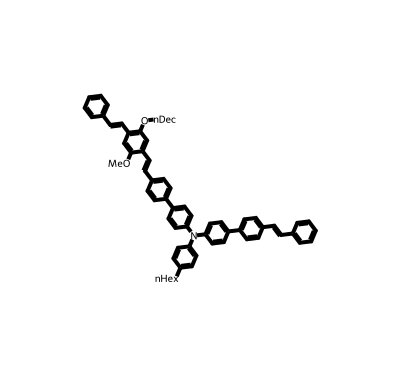 CCCCCCCCCCOc1cc(C=Cc2ccc(-c3ccc(N(c4ccc(CCCCCC)cc4)c4ccc(-c5ccc(C=Cc6ccccc6)cc5)cc4)cc3)cc2)c(OC)cc1C=Cc1ccccc1